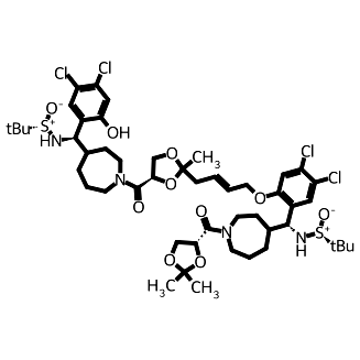 CC1(C)OC[C@H](C(=O)N2CCCC([C@@H](N[S@@+]([O-])C(C)(C)C)c3cc(Cl)c(Cl)cc3OC/C=C/CC3(C)OC[C@H](C(=O)N4CCCC([C@@H](N[S@@+]([O-])C(C)(C)C)c5cc(Cl)c(Cl)cc5O)CC4)O3)CC2)O1